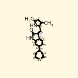 Cc1cc(C)c(/C=C2\C(=O)Nc3cc(-c4ccncc4)ccc32)[nH]1